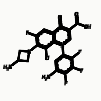 Nc1cc(-n2cc(C(=O)O)c(=O)c3cc(F)c(N4CC(N)C4)c(Cl)c32)c(F)c(F)c1F